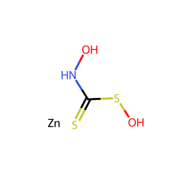 ONC(=S)SO.[Zn]